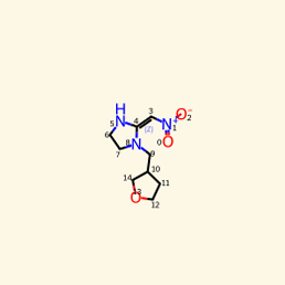 O=[N+]([O-])/C=C1/NCCN1CC1CCOC1